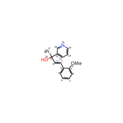 COc1ccccc1/C=C/C(O)(c1cccnc1)C(C)C